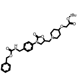 CC(C)(C)OC(=O)COC1CCN(CC2CN(c3ccc(CNC(=O)OCc4ccccc4)cc3)C(=O)O2)CC1